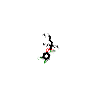 CCCCC(C)(C)C(=O)Oc1ccc(F)c(Cl)c1.Cl